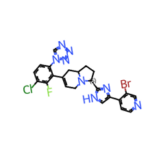 Fc1c(Cl)ccc(-n2cnnn2)c1C1=CCN2C(CC[C@H]2c2nc(-c3ccncc3Br)c[nH]2)C1